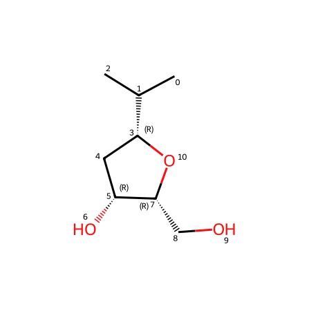 CC(C)[C@H]1C[C@@H](O)[C@@H](CO)O1